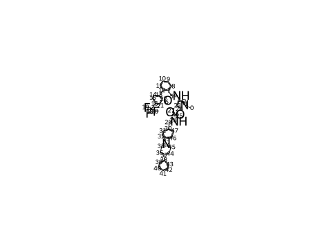 Cn1cc(NC(=O)c2ccccc2-c2ccc(C(F)(F)F)cc2)cc1OC(=O)NCc1ccc(N2CCC(c3ccccc3)CC2)cc1